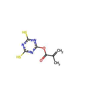 C=C(C)C(=O)Oc1nc(S)nc(S)n1